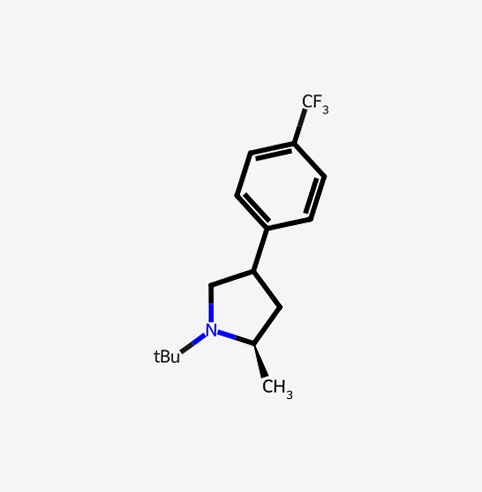 C[C@@H]1CC(c2ccc(C(F)(F)F)cc2)CN1C(C)(C)C